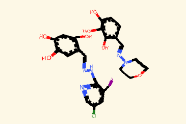 Oc1cc(O)c(C=NNc2ncc(Cl)cc2I)cc1O.Oc1ccc(C=NN2CCOCC2)c(O)c1O